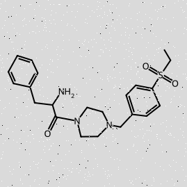 CCS(=O)(=O)c1ccc(CN2CCN(C(=O)C(N)Cc3ccccc3)CC2)cc1